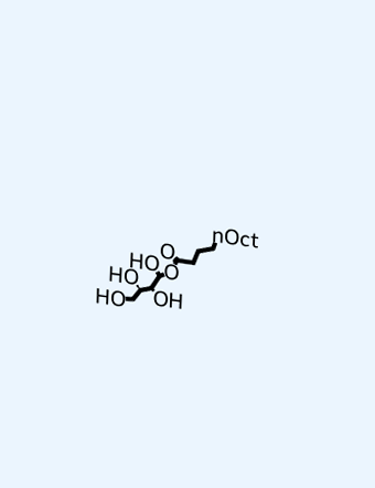 CCCCCCCCCCCC(=O)OC(O)[C@@H](O)[C@@H](O)CO